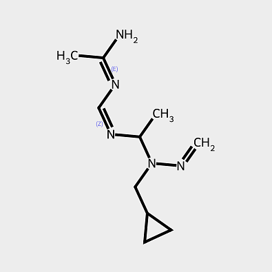 C=NN(CC1CC1)C(C)/N=C\N=C(/C)N